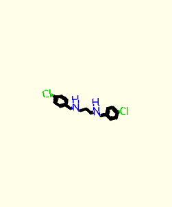 Clc1ccc(CNCCCNCc2ccc(Cl)cc2)cc1